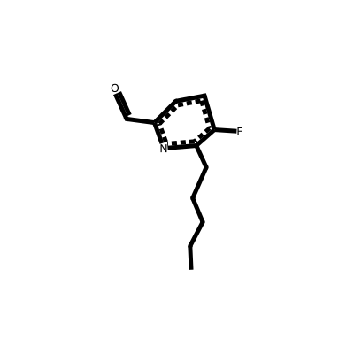 CCCCCc1nc([C]=O)ccc1F